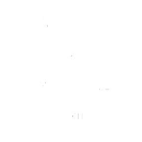 CC(C)C1=CC(=O)CO1